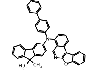 CC1(C)c2ccccc2-c2cc(N(c3ccc(-c4ccccc4)cc3)c3cccc4c3cnc3oc5ccccc5c34)ccc21